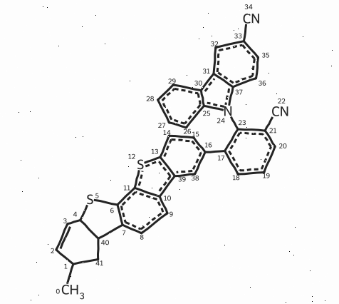 CC1C=CC2Sc3c(ccc4c3sc3ccc(-c5cccc(C#N)c5-n5c6ccccc6c6cc(C#N)ccc65)cc34)C2C1